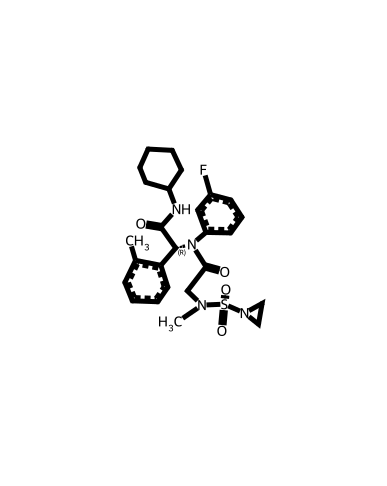 Cc1ccccc1[C@H](C(=O)NC1CCCCC1)N(C(=O)CN(C)S(=O)(=O)N1CC1)c1cccc(F)c1